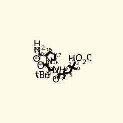 CC(C)(CC(=O)O)CC(C)(C)C(=O)N[C@H](C(=O)N1CCC[C@H]1C(N)=O)C(C)(C)C